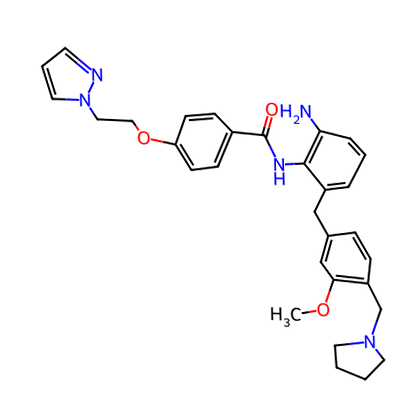 COc1cc(Cc2cccc(N)c2NC(=O)c2ccc(OCCn3cccn3)cc2)ccc1CN1CCCC1